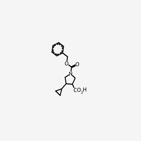 O=C(O)C1CN(C(=O)OCc2ccccc2)CC1C1CC1